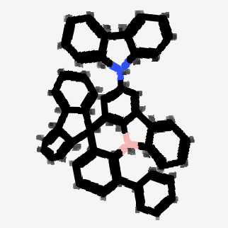 c1ccc(-c2cccc3c2B2c4ccccc4-c4cc(-n5c6ccccc6c6ccccc65)cc(c42)C32c3ccccc3-c3ccccc32)cc1